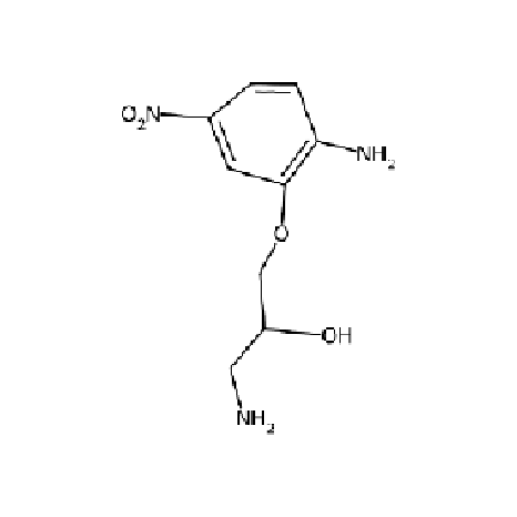 NCC(O)COc1cc([N+](=O)[O-])ccc1N